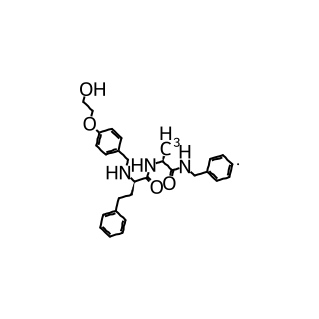 C[C@H](NC(=O)[C@@H](CCc1ccccc1)NCc1ccc(OCCO)cc1)C(=O)NCc1cc[c]cc1